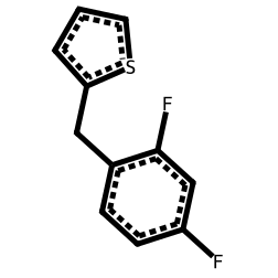 Fc1ccc(Cc2cccs2)c(F)c1